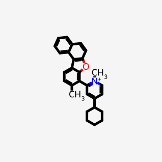 Cc1ccc2c(oc3ccc4ccccc4c32)c1-c1cc(C2CCCCC2)cc[n+]1C